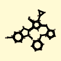 CN1/C(=c2\s/c(=C\c3scc[n+]3Cc3ccccc3)n(C3CC3)c2=O)Sc2cc(F)ccc21